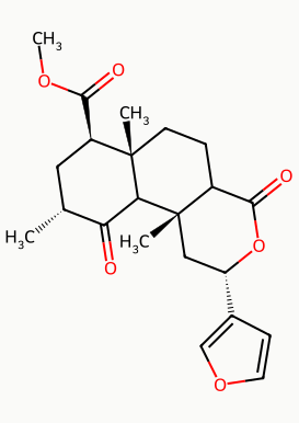 COC(=O)[C@@H]1C[C@@H](C)C(=O)C2[C@@]3(C)C[C@@H](c4ccoc4)OC(=O)C3CC[C@]21C